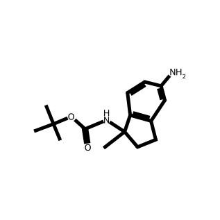 CC(C)(C)OC(=O)NC1(C)CCc2cc(N)ccc21